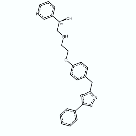 O[C@@H](CNCCOc1ccc(Cc2nnc(-c3ccccc3)o2)cc1)c1cccnc1